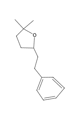 CC1(C)CCC(CCc2ccccc2)O1